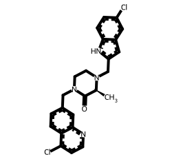 C[C@H]1C(=O)N(Cc2ccc3c(Cl)ccnc3c2)CCN1Cc1cc2cc(Cl)ccc2[nH]1